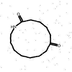 O=C1CCCCCCCNC(=O)CCCC1